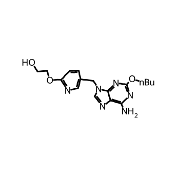 CCCCOc1nc(N)c2ncn(Cc3ccc(OCCO)nc3)c2n1